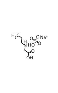 CCCNCC(=O)O.O=S(=O)([O-])O.[Na+]